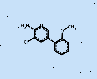 COc1ccccc1-c1cnc(N)c(Cl)c1